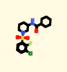 O=C(NC1CCCN(S(=O)(=O)c2cccc(Cl)c2F)C1)C1CCCCC1